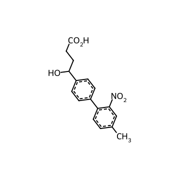 Cc1ccc(-c2ccc(C(O)CCC(=O)O)cc2)c([N+](=O)[O-])c1